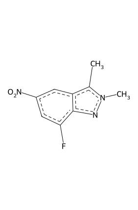 Cc1c2cc([N+](=O)[O-])cc(F)c2nn1C